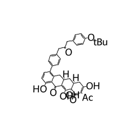 CC(=O)C1=C(O)C[C@@H]2C[C@@H]3Cc4c(-c5ccc(CC(=O)Cc6ccc(OC(C)(C)C)cc6)cc5)ccc(O)c4C(=O)C3=C(O)[C@]2(O)C1=O